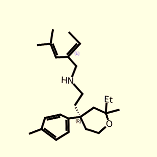 C/C=C(\C=C(C)C)CNCC[C@@]1(c2ccc(C)cc2)CCOC(C)(CC)C1